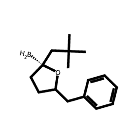 B[C@@]1(CC(C)(C)C)CCC(Cc2ccccc2)O1